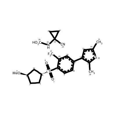 CO[C@@H]1CC[C@@H](S(=O)(=O)c2ccc(-c3cc(C)sc3C)cc2C(F)(F)F)C1.N#CC1(NC(=O)O)CC1